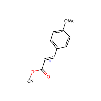 COc1ccc(/C=C/C(=O)OC#N)cc1